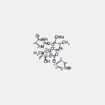 COC(=O)C(C)/N=[P+](\[O-])OC(Oc1ccc(Br)cc1)[C@@H]1O[C@@H](n2ccc(=O)[nH]c2=O)[C@](C)(F)[C@@H]1O